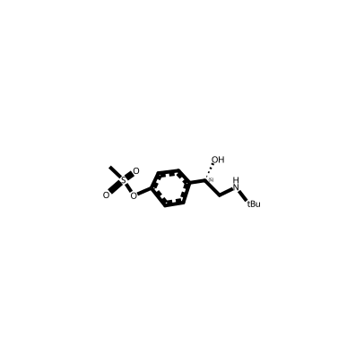 CC(C)(C)NC[C@@H](O)c1ccc(OS(C)(=O)=O)cc1